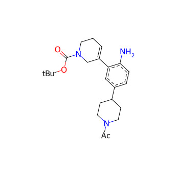 CC(=O)N1CCC(c2ccc(N)c(C3=CCCN(C(=O)OC(C)(C)C)C3)c2)CC1